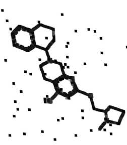 CN1CCCC1COc1nc(O)c2c(n1)CN(C1CCCc3ccccc31)CC2